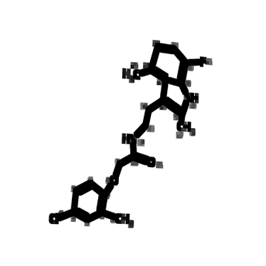 Cc1cc(Cl)ccc1OCC(=O)NCCc1c(C)[nH]c2c(F)ccc(C)c12